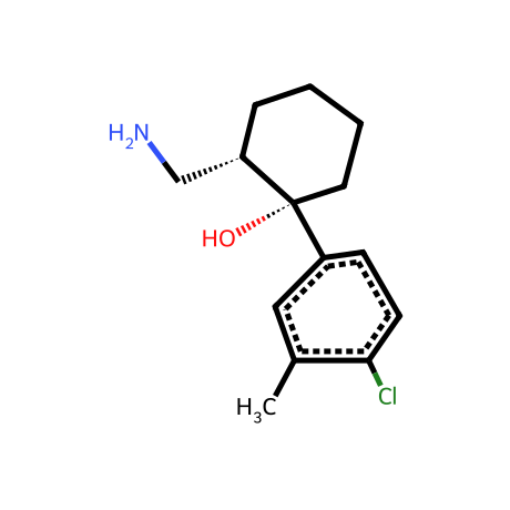 Cc1cc([C@]2(O)CCCC[C@H]2CN)ccc1Cl